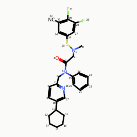 CN(CC(=O)N(Cc1ccc(C2CCCCC2)cn1)c1ccccc1)Sc1cc(F)c(F)c(C#N)c1